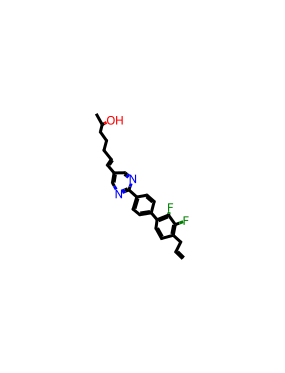 C=CCc1ccc(-c2ccc(-c3ncc(C=CCCCC(C)O)cn3)cc2)c(F)c1F